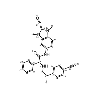 C[C@H](CN[C@H](C(=O)Nc1ccc2c(c1)N(C)C(=C=O)N2C)c1ccccc1)c1ccc(C#N)cc1